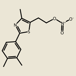 Cc1ccc(-c2nc(C)c(CCO[N+](=O)[O-])s2)cc1C